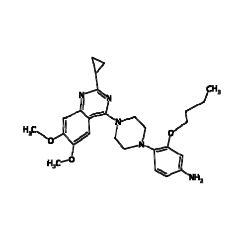 CCCCOc1cc(N)ccc1N1CCN(c2nc(C3CC3)nc3cc(OC)c(OC)cc23)CC1